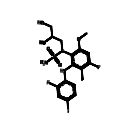 COc1cc(F)c(F)c(Nc2ccc(I)cc2F)c1N(CC(O)CO)S(N)(=O)=O